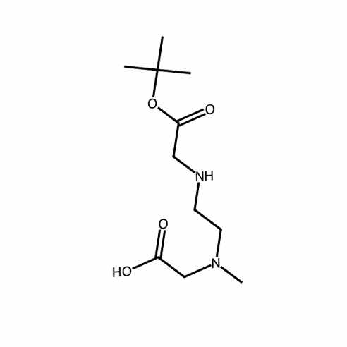 CN(CCNCC(=O)OC(C)(C)C)CC(=O)O